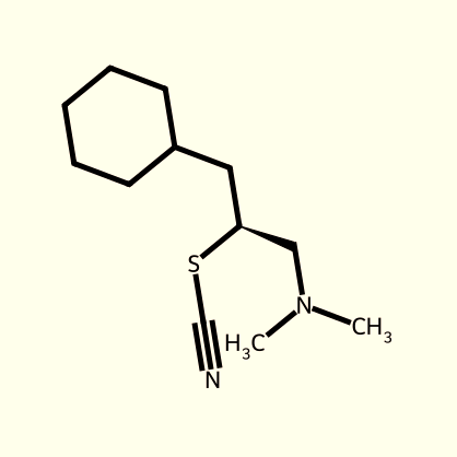 CN(C)C[C@H](CC1CCCCC1)SC#N